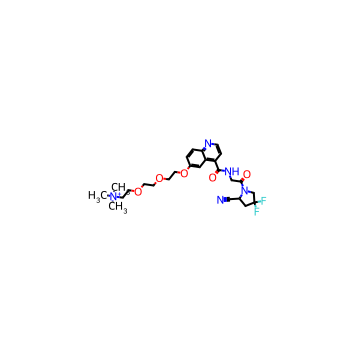 C[N+](C)(C)CCOCCOCCOc1ccc2nccc(C(=O)NCC(=O)N3CC(F)(F)CC3C#N)c2c1